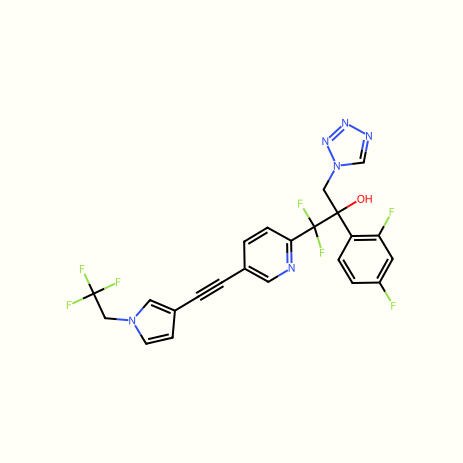 OC(Cn1cnnn1)(c1ccc(F)cc1F)C(F)(F)c1ccc(C#Cc2ccn(CC(F)(F)F)c2)cn1